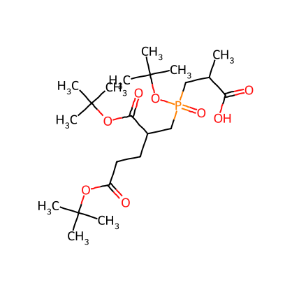 CC(CP(=O)(CC(CCC(=O)OC(C)(C)C)C(=O)OC(C)(C)C)OC(C)(C)C)C(=O)O